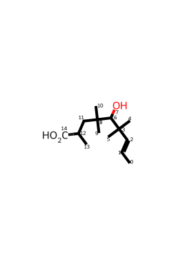 CC=CC(C)(C)C(O)C(C)(C)CC(C)C(=O)O